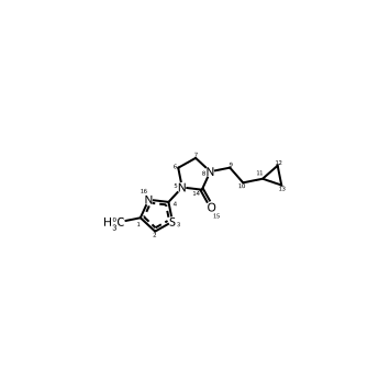 Cc1csc(N2CCN(CCC3CC3)C2=O)n1